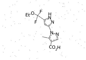 CCOC(F)(F)c1cc(-n2ncc(C(=O)O)c2C)n[nH]1